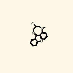 CN1CC(Cl)CN=C(c2ccccc2Cl)c2ccccc21